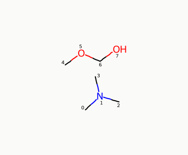 CN(C)C.COCO